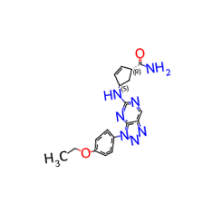 CCOc1ccc(-n2nnc3cnc(N[C@@H]4C=C[C@H](C(N)=O)C4)nc32)cc1